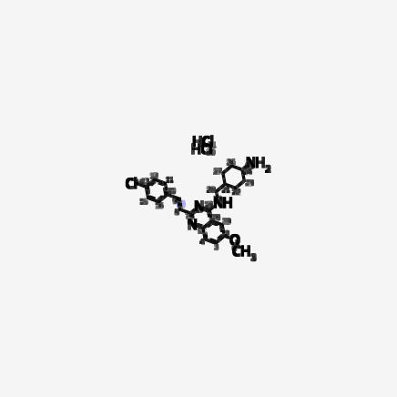 COc1ccc2nc(/C=C/c3ccc(Cl)cc3)nc(NCC3CCC(N)CC3)c2c1.Cl.Cl